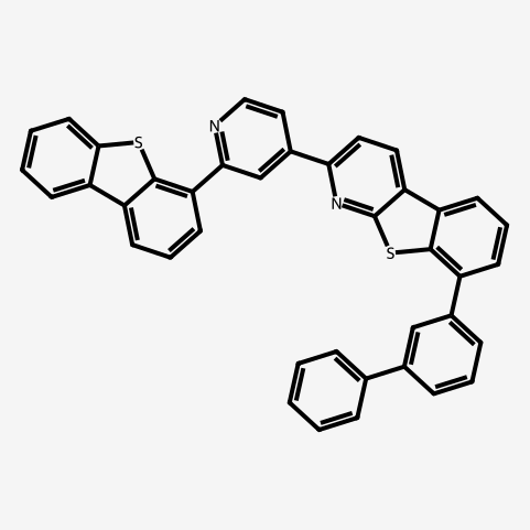 c1ccc(-c2cccc(-c3cccc4c3sc3nc(-c5ccnc(-c6cccc7c6sc6ccccc67)c5)ccc34)c2)cc1